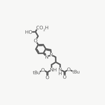 CC(C)(C)OC(=O)NCC(CNC(=O)OC(C)(C)C)Cn1cc2cc(OCC(O)C(=O)O)ccc2n1